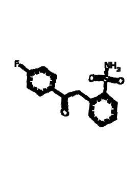 NS(=O)(=O)c1ccccc1CC(=O)c1ccc(F)cc1